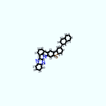 c1ccc2cc(-c3ccc4sc5cc6c(cc5c4c3)c3cccc4c5nc7ccccc7nc5n6c34)ccc2c1